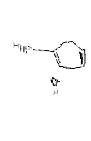 [Cl-].[H-].[H-].[Hf+3][C]1=CC=CC1